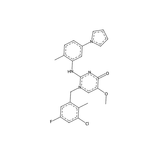 COc1cn(Cc2cc(F)cc(Cl)c2C)c(Nc2cc(-n3cccc3)ccc2C)nc1=O